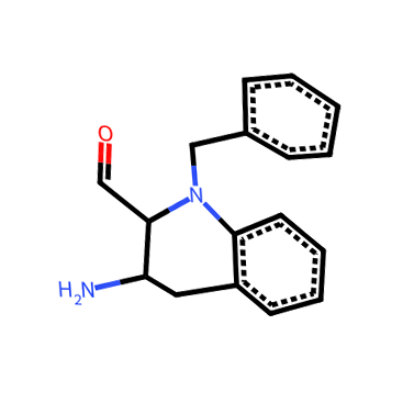 NC1Cc2ccccc2N(Cc2ccccc2)C1C=O